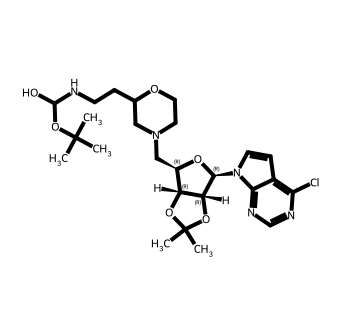 CC(C)(C)OC(O)NCCC1CN(C[C@H]2O[C@@H](n3ccc4c(Cl)ncnc43)[C@@H]3OC(C)(C)O[C@@H]32)CCO1